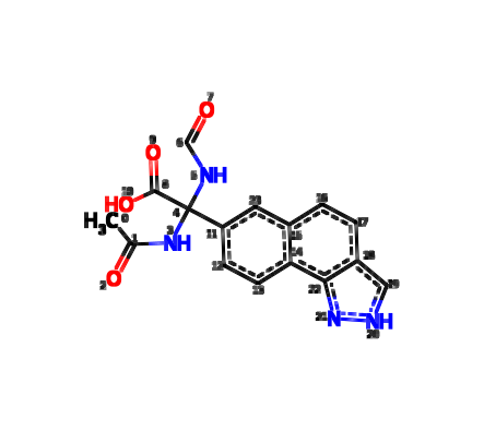 CC(=O)NC(NC=O)(C(=O)O)c1ccc2c(ccc3c[nH]nc32)c1